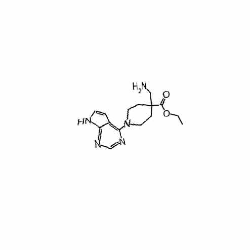 CCOC(=O)C1(CN)CCN(c2ncnc3[nH]ccc23)CC1